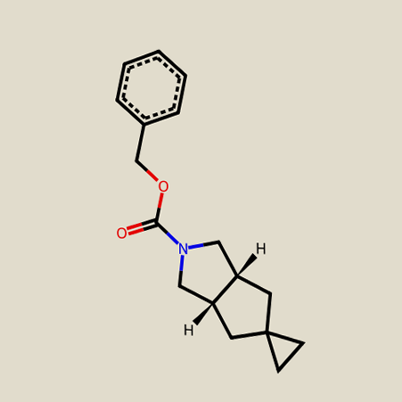 O=C(OCc1ccccc1)N1C[C@@H]2CC3(CC3)C[C@@H]2C1